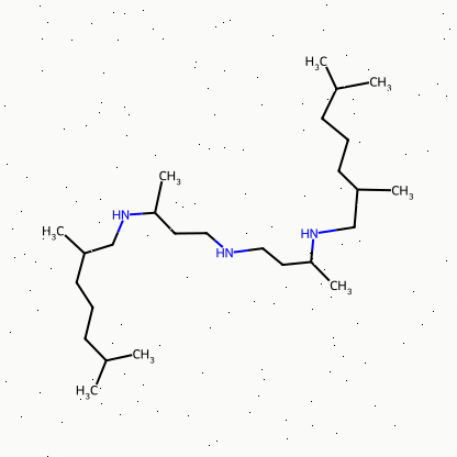 CC(C)CCCC(C)CNC(C)CCNCCC(C)NCC(C)CCCC(C)C